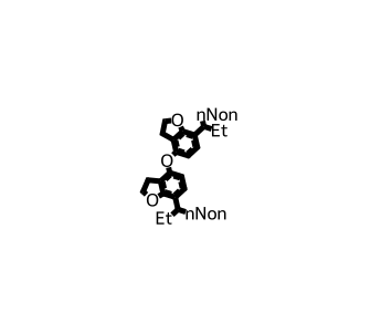 CCCCCCCCCC(CC)c1ccc(Oc2ccc(C(CC)CCCCCCCCC)c3c2CCO3)c2c1OCC2